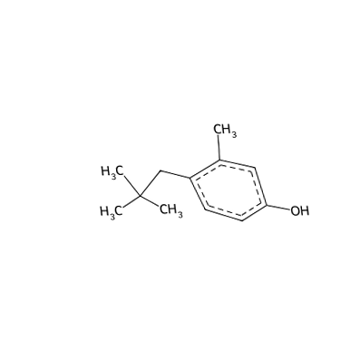 Cc1cc(O)ccc1CC(C)(C)C